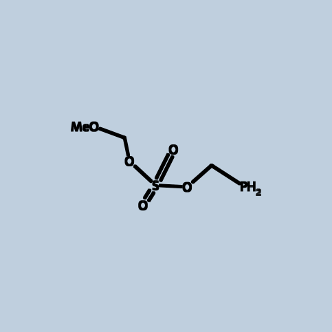 COCOS(=O)(=O)OCP